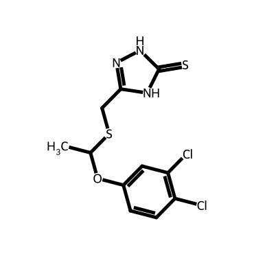 CC(Oc1ccc(Cl)c(Cl)c1)SCc1n[nH]c(=S)[nH]1